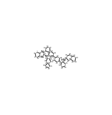 c1ccc(-c2nc3ccccc3nc2-n2c3cc4ccccc4cc3c3c(-c4ccc(-c5ccccc5Nc5ccc6ccccc6c5)cc4)cccc32)cc1